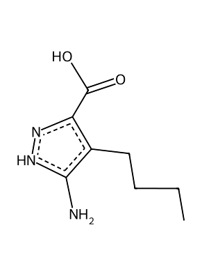 CCCCc1c(C(=O)O)n[nH]c1N